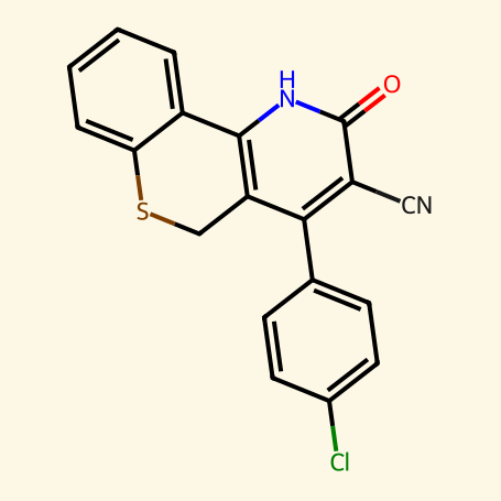 N#Cc1c(-c2ccc(Cl)cc2)c2c([nH]c1=O)-c1ccccc1SC2